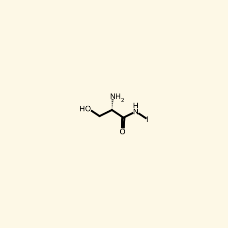 N[C@@H](CO)C(=O)NI